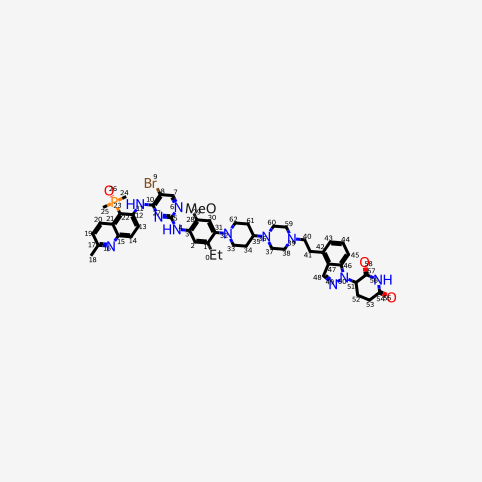 CCc1cc(Nc2ncc(Br)c(Nc3ccc4nc(C)ccc4c3P(C)(C)=O)n2)c(OC)cc1N1CCC(N2CCN(CCc3cccc4c3cnn4C3CCC(=O)NC3=O)CC2)CC1